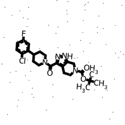 CC(C)(C)OC(=O)N1CCc2c(C(=O)N3CCC(c4cc(F)ccc4Cl)CC3)n[nH]c2C1